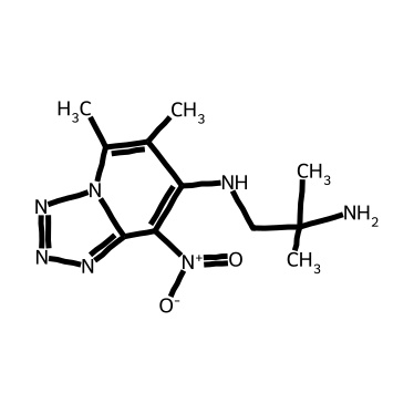 Cc1c(NCC(C)(C)N)c([N+](=O)[O-])c2nnnn2c1C